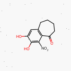 O=C1CCCCc2cc(O)c(O)c([N+](=O)[O-])c21